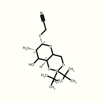 C[C@H]1C(O)[C@@H]2O[Si](C(C)(C)C)(C(C)(C)C)OCC2O[C@H]1SCC#N